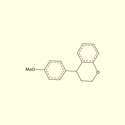 COc1ccc(C2CCOc3ccccc32)cc1